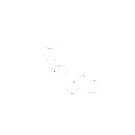 CC(C)(C)C1CN(c2ccc(-c3cccc(C4CCCCC4C(=O)NCC#N)c3)cc2)CCN1C(=O)O